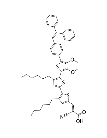 CCCCCCc1cc(/C=C(\C#N)C(=O)O)sc1-c1cc(CCCCCC)c(-c2sc(-c3ccc(C=C(c4ccccc4)c4ccccc4)cc3)c3c2OCCO3)s1